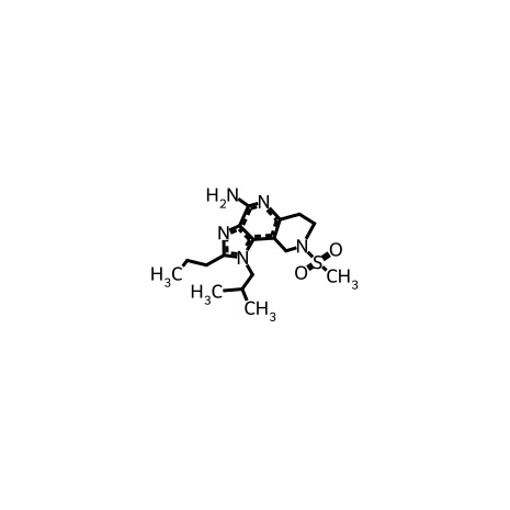 CCCc1nc2c(N)nc3c(c2n1CC(C)C)CN(S(C)(=O)=O)CC3